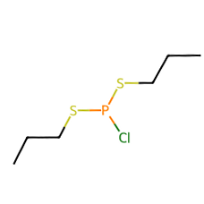 CCCSP(Cl)SCCC